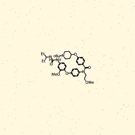 CCCCN1CCC(Oc2ccc(C(=O)N(CCOC)c3ccc(Oc4ccc(NC(=O)NC(CC)CC)cc4OC)cc3)cc2)CC1